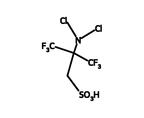 O=S(=O)(O)CC(N(Cl)Cl)(C(F)(F)F)C(F)(F)F